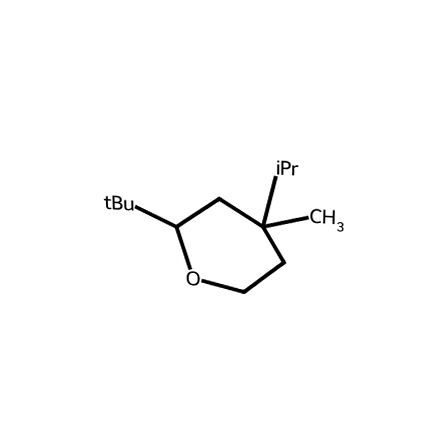 CC(C)C1(C)CCOC(C(C)(C)C)C1